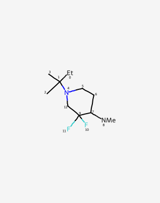 CCC(C)(C)N1CCC(NC)C(F)(F)C1